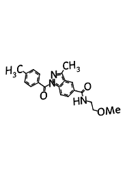 COCCNC(=O)c1ccc2c(c1)c(C)nn2C(=O)c1ccc(C)cc1